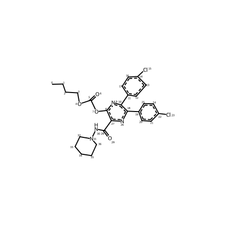 CCCCOC(=O)Oc1nc(-c2ccc(Cl)cc2)c(-c2ccc(Cl)cc2)nc1C(=O)NN1CCCCC1